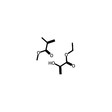 C=C(C)C(=O)OC.C=C(O)C(=O)OCC